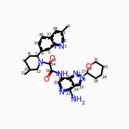 Cc1cnc2cc(C3CCC(C)CN3C(=O)C(=O)Nc3cnc(N)c4cn(C5CCCCO5)nc34)ccc2c1